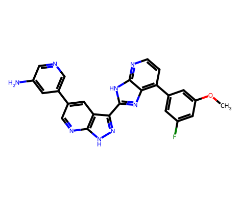 COc1cc(F)cc(-c2ccnc3[nH]c(-c4n[nH]c5ncc(-c6cncc(N)c6)cc45)nc23)c1